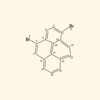 Brc1ccc2c(Br)cc3cccc4ccc1c2c43